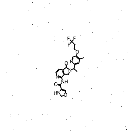 Cc1cc(C(C)N2Cc3c(ccnc3NC(=O)C3=COCN3)C2=O)ncc1OCCC(F)(F)F